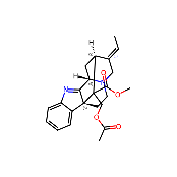 C/C=C1/CN2CC[C@]34C(=Nc5ccccc53)[C@@H]2C[C@@H]1C4(COC(C)=O)C(=O)OC